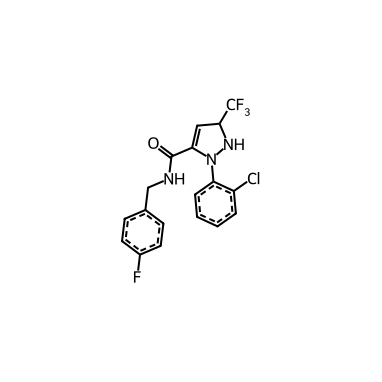 O=C(NCc1ccc(F)cc1)C1=CC(C(F)(F)F)NN1c1ccccc1Cl